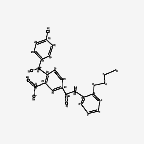 CCCCc1ccccc1NC(=O)c1ccc([S+]([O-])c2ccc(Cl)cc2)c([N+](=O)[O-])c1